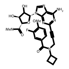 CNC(=O)[C@H]1O[C@@H](n2cnc3c(N)nc(C#CCN(C(=O)c4ccc(OC)c(F)c4)C4CCC4)nc32)C(O)[C@@H]1O